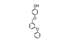 Oc1ccc(OCc2cccc(Oc3ccccc3)c2)cc1